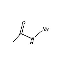 CC(=O)N[NH]